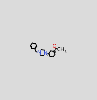 CC(=O)[C@H]1CCC[C@@H](N2CCN(Cc3ccccc3)CC2)C1